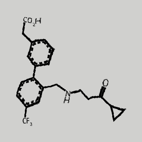 O=C(O)Cc1cccc(-c2ccc(C(F)(F)F)cc2CNCCC(=O)C2CC2)c1